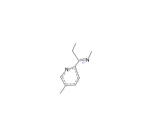 CC/C(=N\C)c1ccc(C)cn1